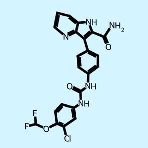 NC(=O)c1[nH]c2cccnc2c1-c1ccc(NC(=O)Nc2ccc(OC(F)F)c(Cl)c2)cc1